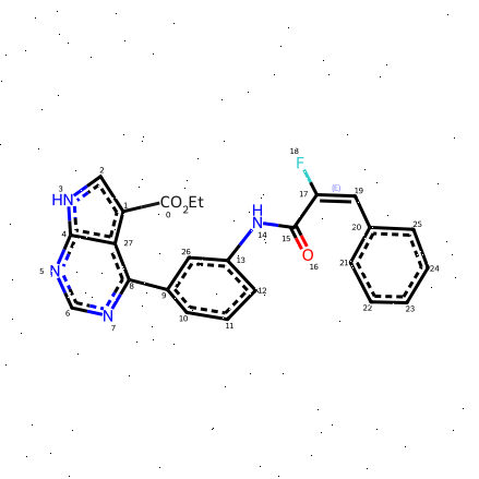 CCOC(=O)c1c[nH]c2ncnc(-c3cccc(NC(=O)/C(F)=C\c4ccccc4)c3)c12